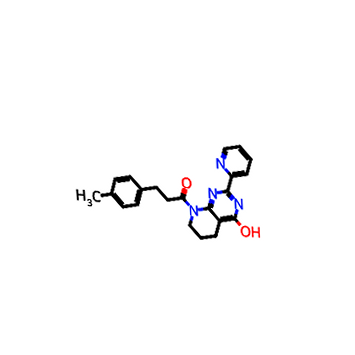 Cc1ccc(CCC(=O)N2CCCc3c(O)nc(-c4ccccn4)nc32)cc1